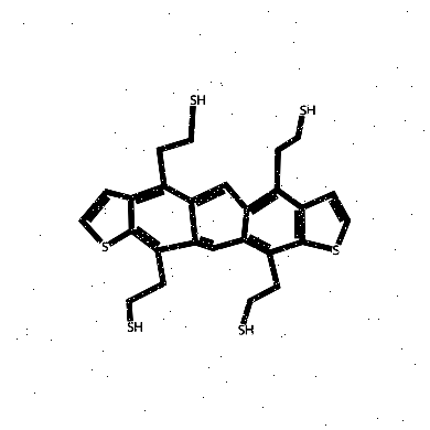 SCCc1c2cc3c(CCS)c4ccsc4c(CCS)c3cc2c(CCS)c2sccc12